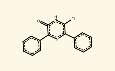 O=c1[nH]c(Cl)c(-c2ccccc2)nc1-c1ccccc1